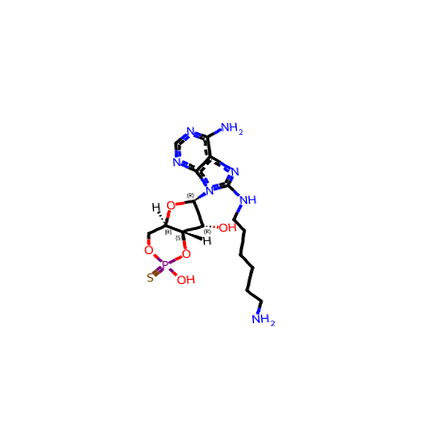 NCCCCCCNc1nc2c(N)ncnc2n1[C@@H]1O[C@@H]2COP(O)(=S)O[C@H]2[C@H]1O